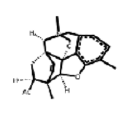 CC(=O)[C@H]1C[C@@]23C=C[C@]1(C)[C@@H]1Oc4c(C)ccc5c4[C@@]12CCN(C)[C@@H]3C5